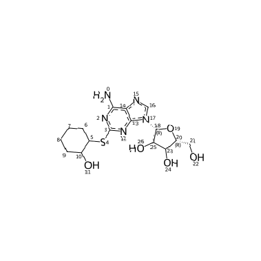 Nc1nc(SC2CCCCC2O)nc2c1ncn2[C@@H]1O[C@H](CO)C(O)C1O